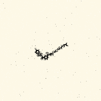 C=C(C)COCCOCCOCCOCCNC(=O)c1cncc(C(=O)CCS(=O)(=O)c2ccc(C)cc2)c1